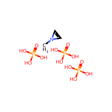 CN1C=C1.O=P(O)(O)O.O=P(O)(O)O.O=P(O)(O)O